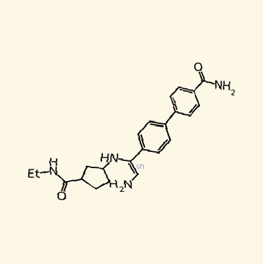 CCNC(=O)C1CCC(N/C(=C\N)c2ccc(-c3ccc(C(N)=O)cc3)cc2)C1